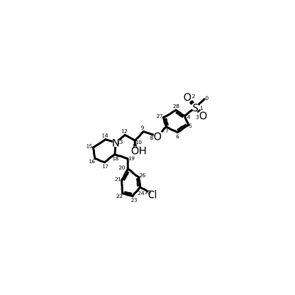 CS(=O)(=O)c1ccc(OCC(O)CN2CCCCC2Cc2cccc(Cl)c2)cc1